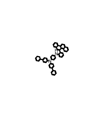 C1=CCCC(c2ccc(N(c3ccc(Nc4ccccc4-c4cc5ccccc5c5ccc6ccccc6c45)cc3)c3ccc(-c4ccccc4)cc3)cc2)=C1